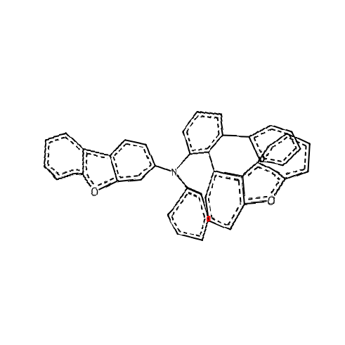 c1ccc(-c2cccc(N(c3ccccc3)c3ccc4c(c3)oc3ccccc34)c2-c2cccc3oc4ccccc4c23)cc1